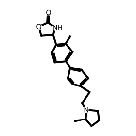 Cc1cc(-c2ccc(CCN3CCC[C@H]3C)cc2)ccc1C1COC(=O)N1